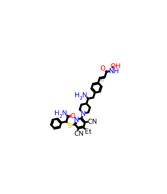 CCc1c(C#N)c(SC(C(N)=O)c2ccccc2)nc(N2CCC(C(N)Cc3ccc(/C=C/C(=O)NO)cc3)CC2)c1C#N